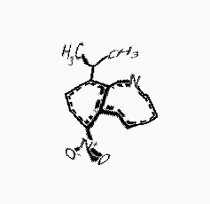 CC(C)c1ccc([N+](=O)[O-])c2cccnc12